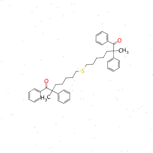 CC(CCCCCSCCCCCC(C)(C(=O)c1ccccc1)c1ccccc1)(C(=O)c1ccccc1)c1ccccc1